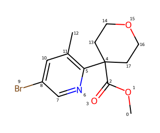 COC(=O)C1(c2ncc(Br)cc2C)CCOCC1